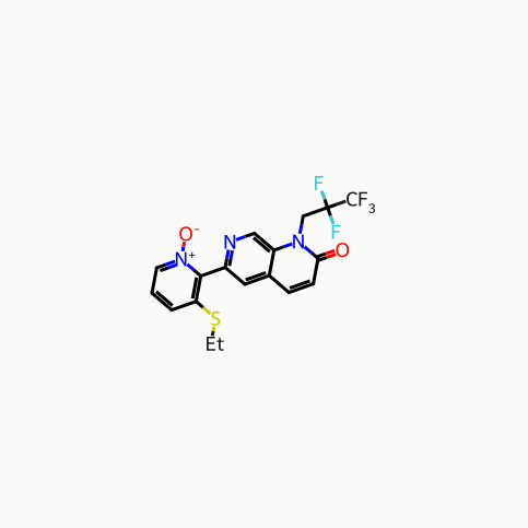 CCSc1ccc[n+]([O-])c1-c1cc2ccc(=O)n(CC(F)(F)C(F)(F)F)c2cn1